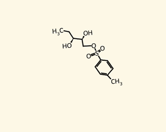 CC[C@H](O)[C@@H](O)COS(=O)(=O)c1ccc(C)cc1